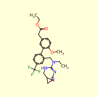 CCOC(=O)Cc1ccc(OC)c(-c2ccc(C(F)(F)F)cc2CN(CC)/C(=N/C#N)NCC2CC2)c1